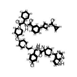 NC1(C(=O)N[C@@H](CCN2CCC(OC3CCN(C(=O)[C@H](NC(=O)c4cccc(C5CN(C(=O)C6CC6)C5)c4)C4CCCCC4)CC3)CC2)c2ccc(Cl)cc2)CCN(c2ncnc3[nH]ccc23)CC1